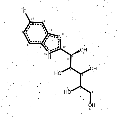 OCC(O)C(O)C(O)[C@H](O)c1nc2cc(F)ccc2[nH]1